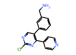 NCc1cccc(-c2cnc(Cl)nc2-c2ccncc2)c1